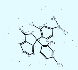 COc1cc([N+](=O)[O-])ccc1C1(c2ccc(N(C)C)cc2O)OC(=O)c2ccccc21